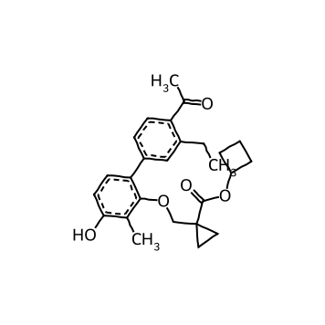 CCc1cc(-c2ccc(O)c(C)c2OCC2(C(=O)OC3CCC3)CC2)ccc1C(C)=O